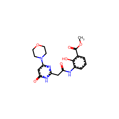 COC(=O)c1cccc(NC(=O)Cc2nc(N3CCOCC3)cc(=O)[nH]2)c1O